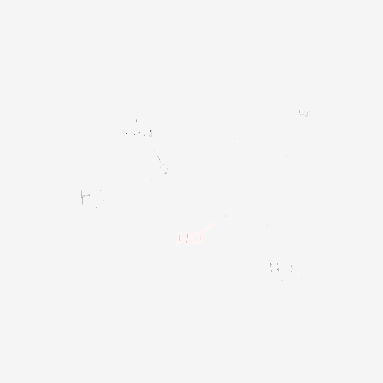 C=CC(c1cc(Br)cc([N+](=O)[O-])c1O)C(C)CC